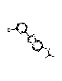 CC(C)Oc1ccn2cc(-c3cccc(Br)n3)nc2c1